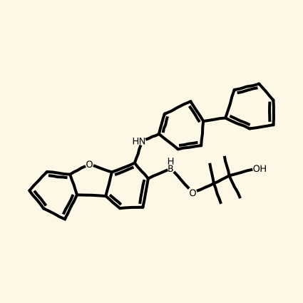 CC(C)(O)C(C)(C)OBc1ccc2c(oc3ccccc32)c1Nc1ccc(-c2ccccc2)cc1